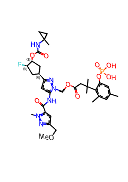 COCc1cc(C(=O)Nc2cc([C@H]3C[C@@H](F)[C@@H](OC(=O)NC4(C)CC4)C3)nn2COC(=O)CC(C)(C)c2c(C)cc(C)cc2OP(=O)(O)O)n(C)n1